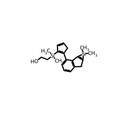 C[Si](C)(CCO)C1=C(c2cccc3c2C2=C([CH]3)[Si]2(C)C)CC=C1